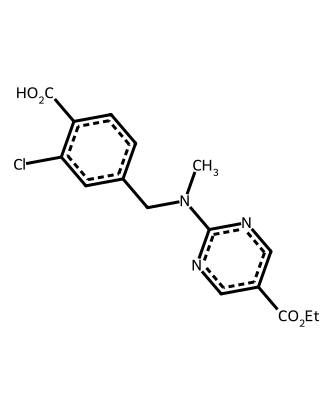 CCOC(=O)c1cnc(N(C)Cc2ccc(C(=O)O)c(Cl)c2)nc1